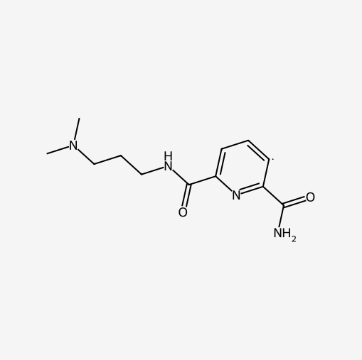 CN(C)CCCNC(=O)c1cc[c]c(C(N)=O)n1